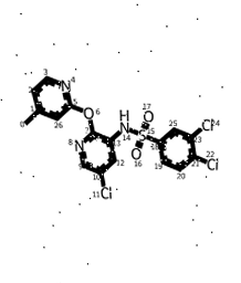 Cc1ccnc(Oc2ncc(Cl)cc2NS(=O)(=O)c2ccc(Cl)c(Cl)c2)c1